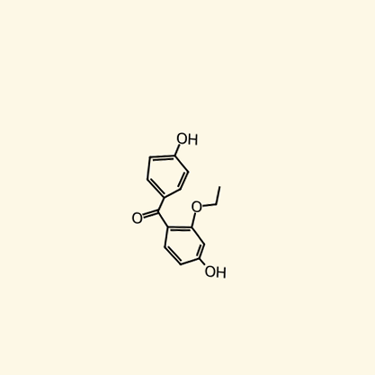 CCOc1cc(O)ccc1C(=O)c1ccc(O)cc1